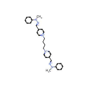 CN(/N=C/c1cc[n+](CCCC[n+]2ccc(/C=N/N(C)c3ccccc3)cc2)cc1)c1ccccc1